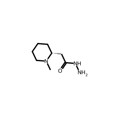 CN1CCCC[C@@H]1CC(=O)NN